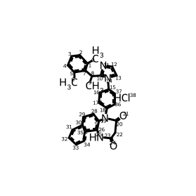 Cc1cccc(C)c1C(C)c1nccn1-c1ccc(N2C(=O)CC(=O)Nc3c2ccc2ccccc32)cc1.Cl